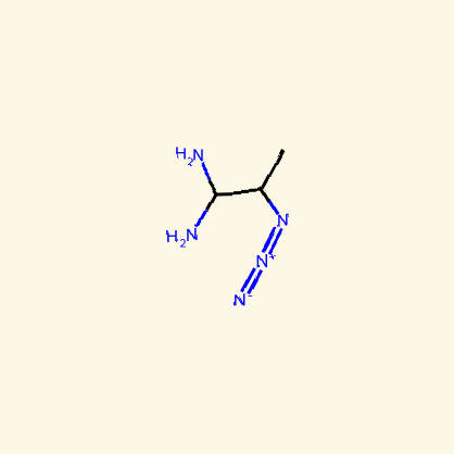 CC(N=[N+]=[N-])C(N)N